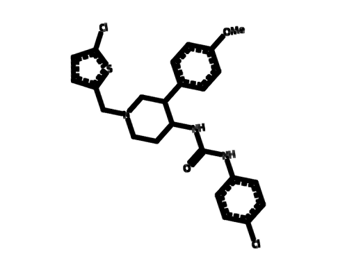 COc1ccc(C2CN(Cc3ccc(Cl)s3)CCC2NC(=O)Nc2ccc(Cl)cc2)cc1